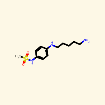 CS(=O)(=O)Nc1ccc(NCCCCCN)cc1